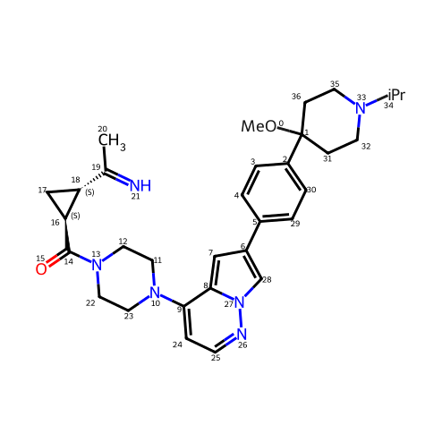 COC1(c2ccc(-c3cc4c(N5CCN(C(=O)[C@H]6C[C@@H]6C(C)=N)CC5)ccnn4c3)cc2)CCN(C(C)C)CC1